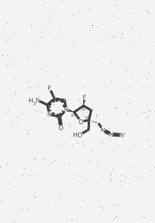 [N-]=[N+]=NC[C@@]1(CO)C[C@H](F)[C@H](n2cc(F)c(N)nc2=O)O1